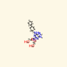 Cn1cnc2c(NCc3ccc(-c4ccccc4)cc3)nc(N(OCCO)OCCO)nc21